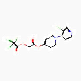 O=C(COC(=O)C(F)(F)F)OC1CCN(c2ccncc2F)CC1